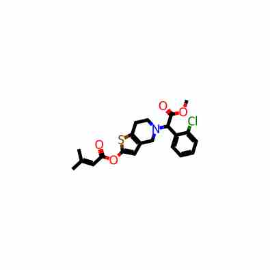 COC(=O)C(c1ccccc1Cl)N1CCc2sc(OC(=O)C=C(C)C)cc2C1